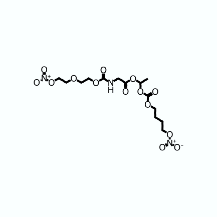 CC(OC(=O)CNC(=O)OCCOCCO[N+](=O)[O-])OC(=O)OCCCCO[N+](=O)[O-]